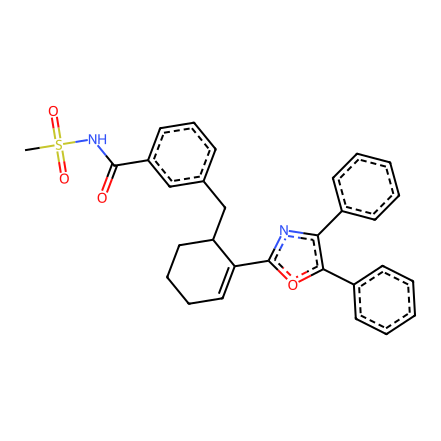 CS(=O)(=O)NC(=O)c1cccc(CC2CCCC=C2c2nc(-c3ccccc3)c(-c3ccccc3)o2)c1